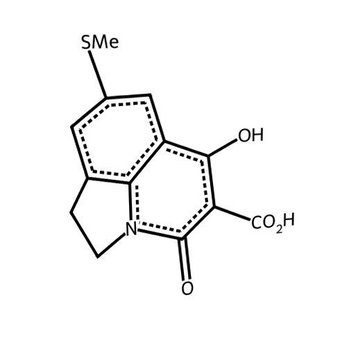 CSc1cc2c3c(c1)c(O)c(C(=O)O)c(=O)n3CC2